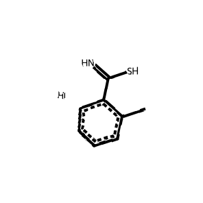 Cc1ccccc1C(=N)S.I